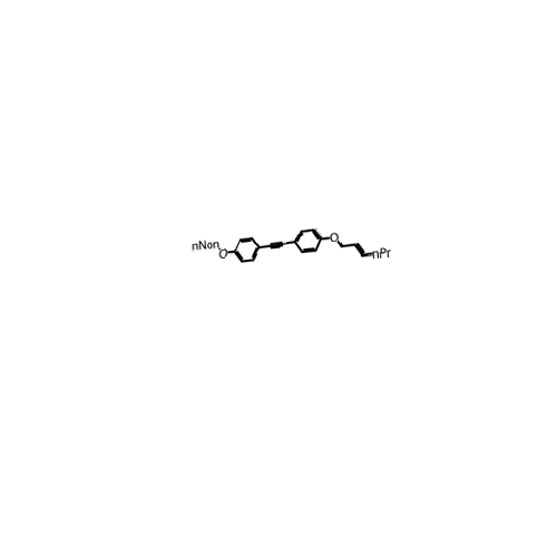 CCCC=CCOc1ccc(C#Cc2ccc(OCCCCCCCCC)cc2)cc1